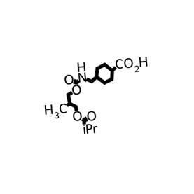 CC(COC(=O)NCC1CCC(C(=O)O)CC1)COC(=O)C(C)C